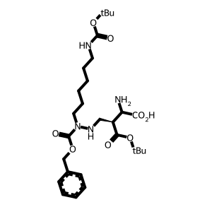 CC(C)(C)OC(=O)NCCCCCCN(NC[C@H](C(=O)OC(C)(C)C)C(N)C(=O)O)C(=O)OCc1ccccc1